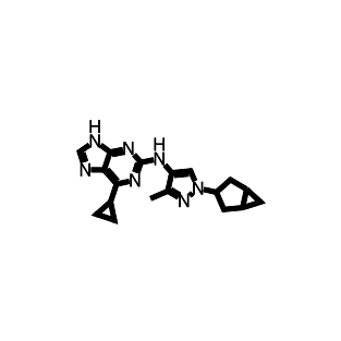 Cc1nn(C2CC3CC3C2)cc1Nc1nc(C2CC2)c2nc[nH]c2n1